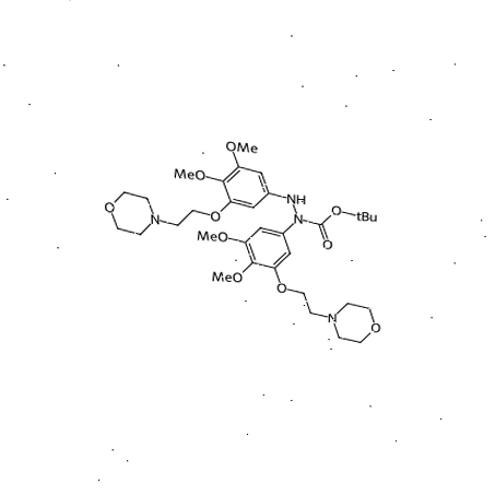 COc1cc(NN(C(=O)OC(C)(C)C)c2cc(OC)c(OC)c(OCCN3CCOCC3)c2)cc(OCCN2CCOCC2)c1OC